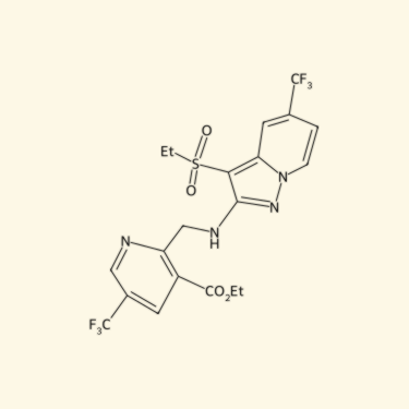 CCOC(=O)c1cc(C(F)(F)F)cnc1CNc1nn2ccc(C(F)(F)F)cc2c1S(=O)(=O)CC